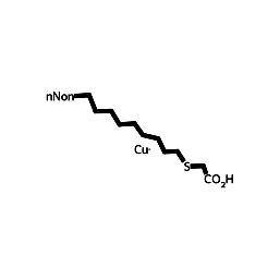 CCCCCCCCCCCCCCCCCCSCC(=O)O.[Cu]